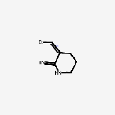 CC/C=C1/CCCNC1=N